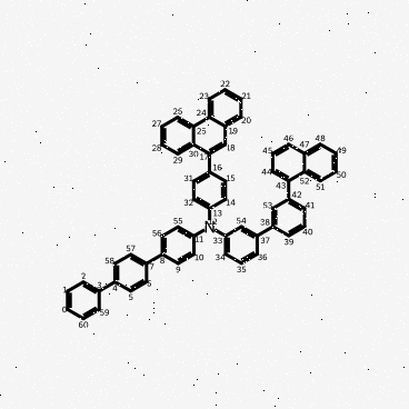 c1ccc(-c2ccc(-c3ccc(N(c4ccc(-c5cc6ccccc6c6ccccc56)cc4)c4cccc(-c5cccc(-c6cccc7ccccc67)c5)c4)cc3)cc2)cc1